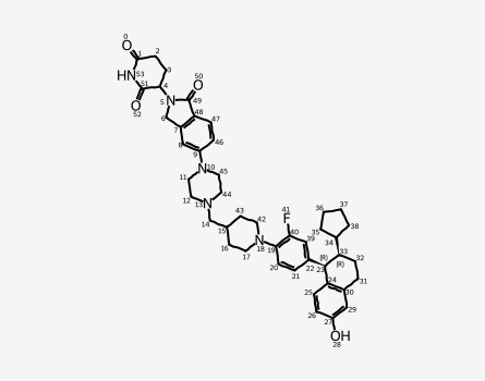 O=C1CCC(N2Cc3cc(N4CCN(CC5CCN(c6ccc([C@@H]7c8ccc(O)cc8CC[C@@H]7C7CCCC7)cc6F)CC5)CC4)ccc3C2=O)C(=O)N1